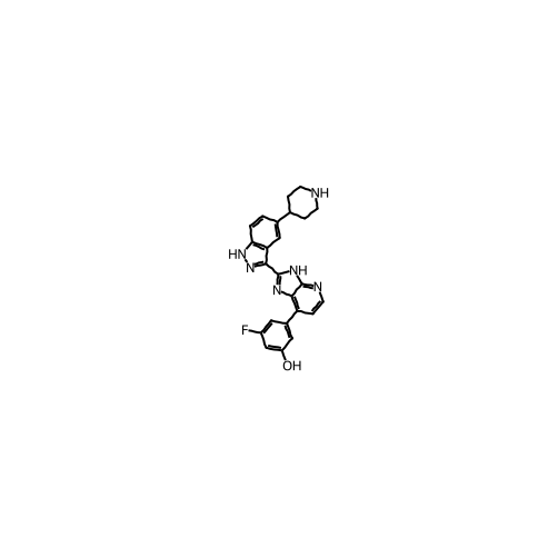 Oc1cc(F)cc(-c2ccnc3[nH]c(-c4n[nH]c5ccc(C6CCNCC6)cc45)nc23)c1